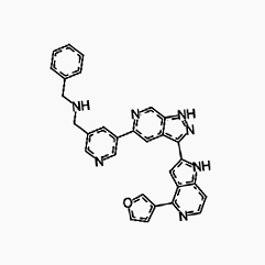 c1ccc(CNCc2cncc(-c3cc4c(-c5cc6c(-c7ccoc7)nccc6[nH]5)n[nH]c4cn3)c2)cc1